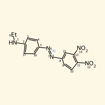 CCNc1ccc(/N=N/c2ccc([N+](=O)[O-])c([N+](=O)[O-])c2)cc1